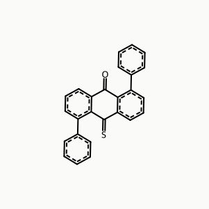 O=C1c2cccc(-c3ccccc3)c2C(=S)c2cccc(-c3ccccc3)c21